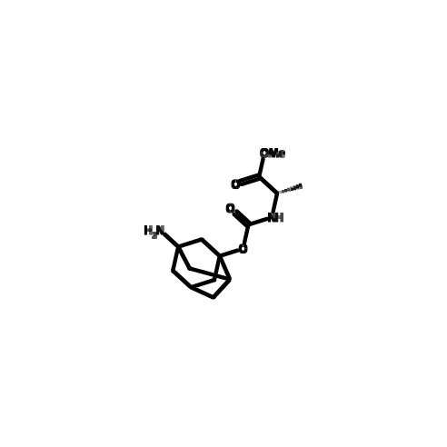 COC(=O)[C@H](C)NC(=O)OC12CC3CC1CC(N)(C3)C2